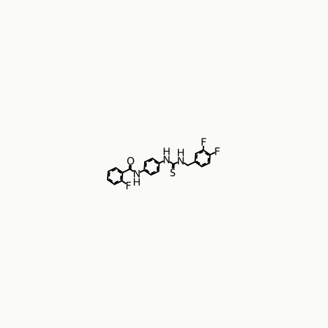 O=C(Nc1ccc(NC(=S)NCc2ccc(F)c(F)c2)cc1)c1ccccc1F